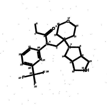 CCC(=O)N(CC1(N2CC3CNCC3C2)CCOCC1)c1cccc(C(F)(F)F)n1